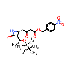 C[C@@H](O[Si](C)(C)C(C)(C)C)[C@H]1C(=O)N[C@@H]1CC(=O)CC(=O)OCc1ccc([N+](=O)[O-])cc1